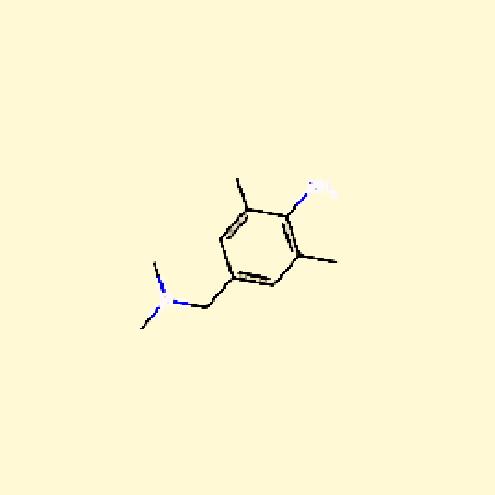 CC(C)c1cc(CN(C)C)cc(C(C)C)c1N